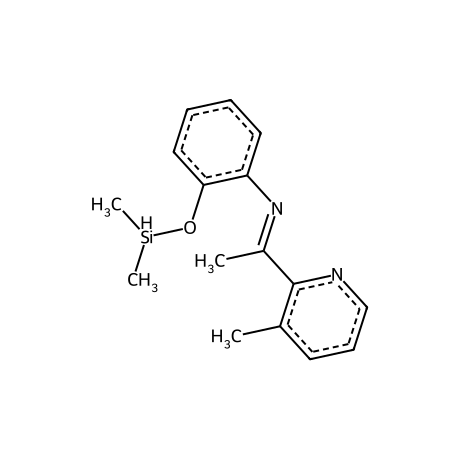 CC(=Nc1ccccc1O[SiH](C)C)c1ncccc1C